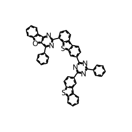 c1ccc(-c2nc(-c3ccc4c(c3)sc3c(-c5nc(-c6ccccc6)c6oc7ccccc7c6n5)cccc34)nc(-c3ccc4sc5ccccc5c4c3)n2)cc1